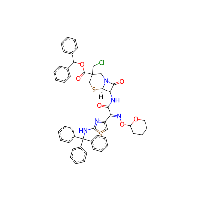 O=C(NC1C(=O)N2CC(CCl)(C(=O)OC(c3ccccc3)c3ccccc3)CS[C@H]12)C(=NOC1CCCCO1)c1csc(NC(c2ccccc2)(c2ccccc2)c2ccccc2)n1